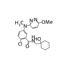 COc1ccc(N(C)c2ccc(Cl)c(C(=O)NCC3(O)CCCCC3)c2)nn1